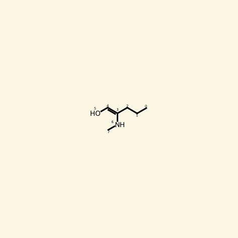 CCCC(=CO)NC